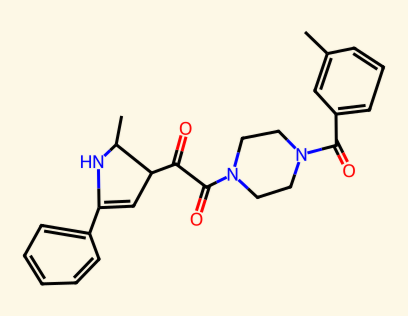 Cc1cccc(C(=O)N2CCN(C(=O)C(=O)C3C=C(c4ccccc4)NC3C)CC2)c1